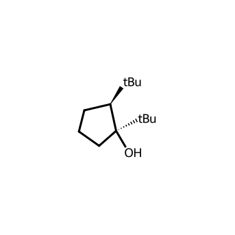 CC(C)(C)[C@@H]1CCC[C@@]1(O)C(C)(C)C